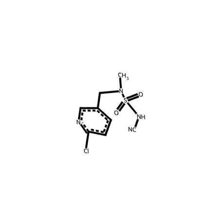 CN(Cc1ccc(Cl)nc1)S(=O)(=O)NC#N